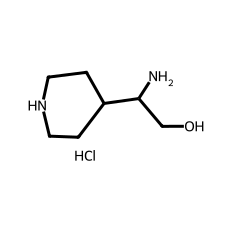 Cl.NC(CO)C1CCNCC1